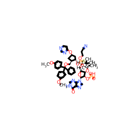 COc1ccc(C(OC[C@H]2C[C@@H](Oc3ccncn3)C[C@@H]2O[P@@](=S)(OCCC#N)OC[C@H]2O[C@@H](n3cnc4c(=O)[nH]cnc43)[C@H](O[PH](=O)O)[C@@H]2O[Si](C)(C)C(C)(C)C)(c2ccccc2)c2ccc(OC)cc2)cc1